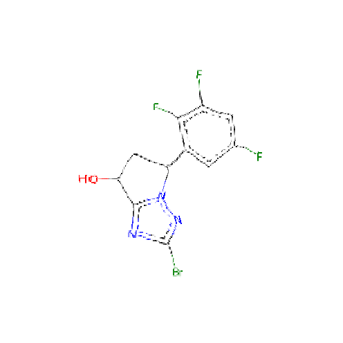 OC1CC(c2cc(F)cc(F)c2F)n2nc(Br)nc21